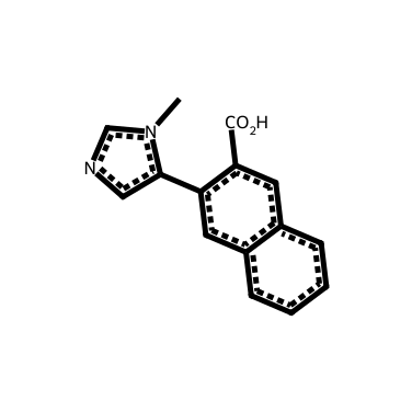 Cn1cncc1-c1cc2ccccc2cc1C(=O)O